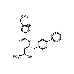 COCc1cc(C(=O)N[C@H](Cc2ccc(-c3ccccc3)cc2)C[C@@H](O)C(=O)O)n[nH]1